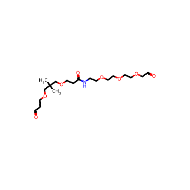 CC(C)(COCCC=O)COCCC(=O)NCCOCCOCCOCC=O